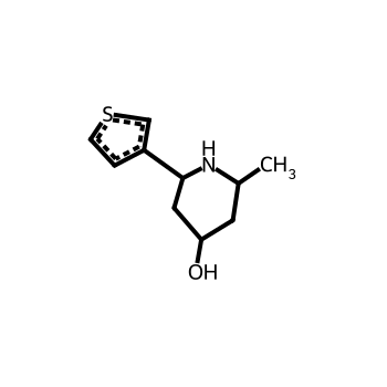 CC1CC(O)CC(c2ccsc2)N1